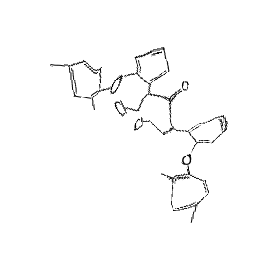 Cc1ccc(Oc2ccccc2C(CCl)C(=O)C(CCl)c2ccccc2Oc2ccc(C)cc2C)c(C)c1